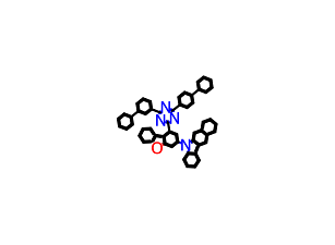 c1ccc(-c2ccc(-c3nc(-c4cccc(-c5ccccc5)c4)nc(-c4cc(-n5c6ccccc6c6cc7ccccc7cc65)cc5oc6ccccc6c45)n3)cc2)cc1